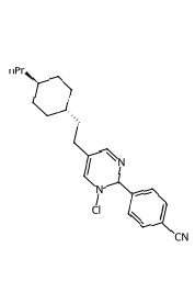 CCC[C@H]1CC[C@H](CCC2=CN(Cl)C(c3ccc(C#N)cc3)N=C2)CC1